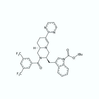 CC(C)(C)OC(=O)n1cc(C[C@@H]2CN3C=C(c4ncccn4)CC[C@@H]3CN2C(=O)c2cc(C(F)(F)F)cc(C(F)(F)F)c2)c2ccccc21